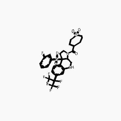 O=C(C1CCS(=O)(=O)CC1)N1CCC2(S(=O)(=O)c3cccc(F)c3)c3ccc(C(F)(C(F)(F)F)C(F)(F)F)cc3NCC12